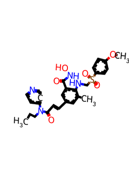 CCCN(C(=O)C=Cc1cc(C)c(NCS(=O)(=O)c2ccc(OC)cc2)c(C(=O)NO)c1)c1ccncc1